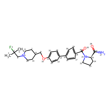 CC(C)(F)CN1CCC(COc2ccc(-c3ccc(C(=O)N4CCC[C@@H]4C(N)=O)cc3)cc2)CC1